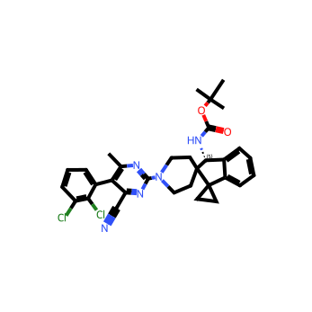 Cc1nc(N2CCC3(CC2)[C@H](NC(=O)OC(C)(C)C)c2ccccc2C32CC2)nc(C#N)c1-c1cccc(Cl)c1Cl